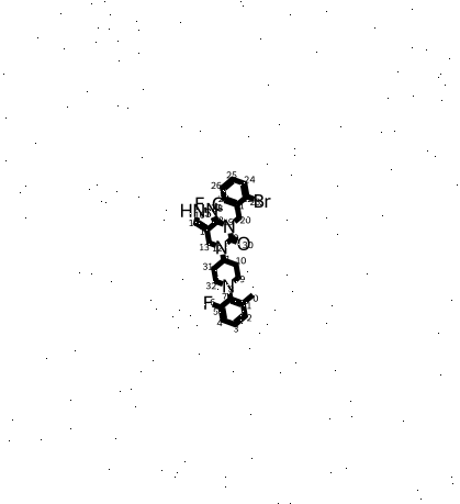 Cc1cccc(F)c1N1CCC(N2Cc3c[nH]nc3N(Cc3c(Br)cccc3C(F)(F)F)C2=O)CC1